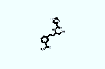 NC(=O)c1cccc(CCC(CO)NC(=O)c2c[nH]cn2)c1